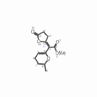 COC(=O)/C(C1=CCCC(C)O1)=C1\CCC(=O)O1